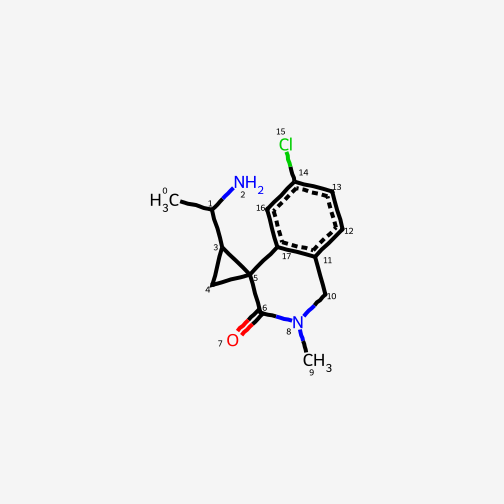 CC(N)C1CC12C(=O)N(C)Cc1ccc(Cl)cc12